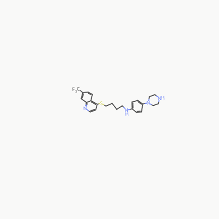 FC(F)(F)c1ccc2c(SCCCCNc3ccc(N4CCNCC4)cc3)ccnc2c1